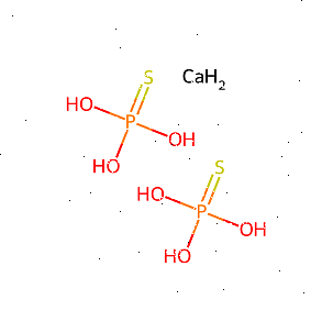 OP(O)(O)=S.OP(O)(O)=S.[CaH2]